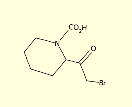 O=C(CBr)C1CCCCN1C(=O)O